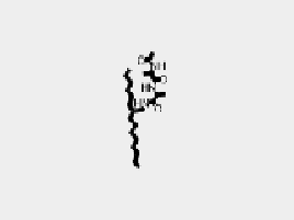 CCCCCCCCC(CCCCCC)CNC(=O)C(C)NC(=O)C(C)NC(C)=O